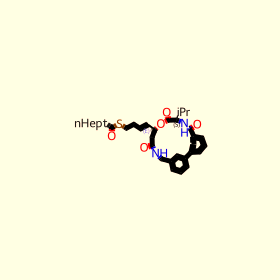 CCCCCCCC(=O)SCC/C=C/[C@@H]1CC(=O)NCc2cccc(c2)-c2cccc(c2)C(=O)N[C@@H](C(C)C)C(=O)O1